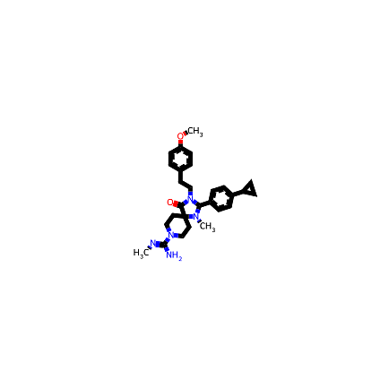 C/N=C(\N)N1CCC2(CC1)C(=O)N(CCc1ccc(OC)cc1)C(c1ccc(C3CC3)cc1)N2C